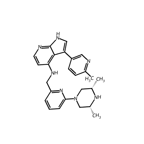 Cc1ccc(-c2c[nH]c3nccc(NCc4cccc(N5C[C@@H](C)N[C@@H](C)C5)n4)c23)cn1